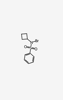 O=S(=O)(c1ccccc1)N(Br)C1CCC1